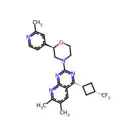 Cc1cc([C@@H]2CN(c3nc4nc(C)c(C)cc4c([C@H]4C[C@@H](C(F)(F)F)C4)n3)CCO2)ccn1